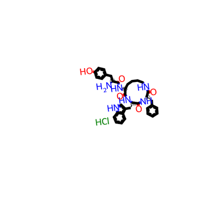 Cl.N[C@@H](Cc1ccc(O)cc1)C(=O)N[C@@H]1CCCCNC(=O)[C@H](Cc2ccccc2)NC(=O)[C@H](Cc2c[nH]c3ccccc23)NC1=O